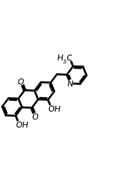 Cc1cccnc1Cc1cc(O)c2c(c1)C(=O)c1cccc(O)c1C2=O